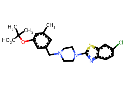 Cc1cc(CN2CCN(c3nc4ccc(Cl)cc4s3)CC2)cc(OC(C)(C)C(=O)O)c1